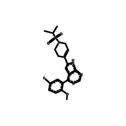 COc1ccc(F)cc1-c1ncnc2[nH]c(C3=CCN(S(=O)(=O)C(C)C)CC3)cc12